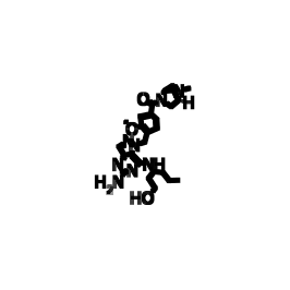 CCCC(CCO)Nc1nc(N)nc2cnn(Cc3ccc(C(=O)N4C[C@H]5CC4CN5C)cc3OC)c12